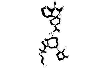 CN1C(=O)OC2(CCN(C(=O)N[C@@H]3CC[C@@H](c4cccc(F)c4F)Cn4c(C(C)(C)OCCO)cnc43)CC2)c2cccnc21